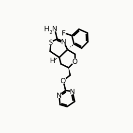 NC1=N[C@@]2(c3ccccc3F)CO[C@@H](COc3ncccn3)C[C@H]2CS1